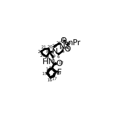 CCCS(=O)(=O)N1CCN(C2(CNC(=O)c3ccccc3F)CCCCC2)CC1